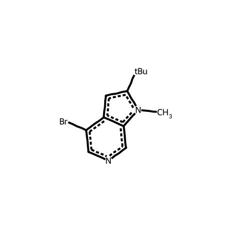 Cn1c(C(C)(C)C)cc2c(Br)cncc21